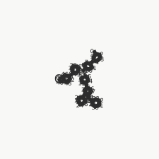 Cc1cccc(-c2ccc(N(c3ccc(-c4ccc5c(c4)c4ccccc4n5-c4ccccc4)cc3)c3cccc(-c4ccc5c(c4)OC5)c3)cc2)c1